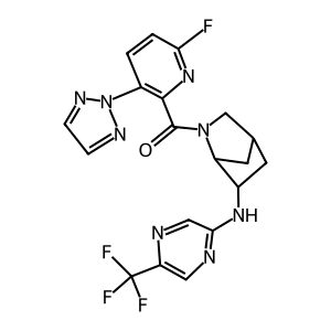 O=C(c1nc(F)ccc1-n1nccn1)N1CC2CC(Nc3cnc(C(F)(F)F)cn3)C1C2